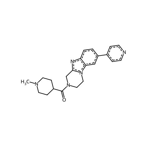 CN1CCC(C(=O)N2CCn3c(nc4ccc(-c5ccncc5)cc43)C2)CC1